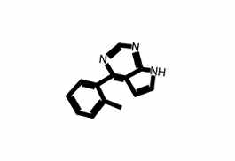 Cc1ccccc1-c1ncnc2[nH]ccc12